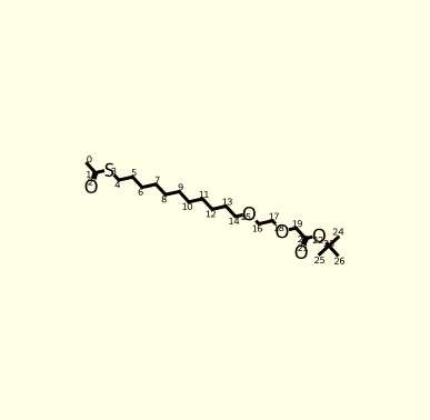 CC(=O)SCCCCCCCCCCCOCCOCC(=O)OC(C)(C)C